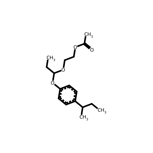 CCC(OCCOC(C)=O)Oc1ccc(C(C)CC)cc1